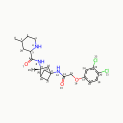 CC1CCNC(C(=O)N[C@@H]2CC3(NC(=O)COc4ccc(Cl)c(Cl)c4)CC2C3)C1